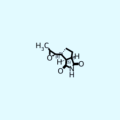 CC1O[C@@H]1[C@@H]1CC[C@H]2C(=O)NC(=O)[C@@H]12